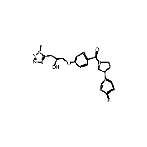 Cn1nnnc1CC(O)COc1ccc(C(=O)N2CCC(c3ccc(F)cc3)C2)cc1